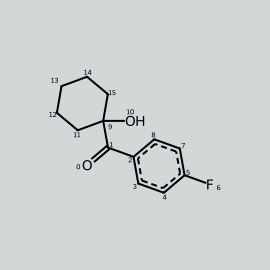 O=C(c1ccc(F)cc1)C1(O)CCCCC1